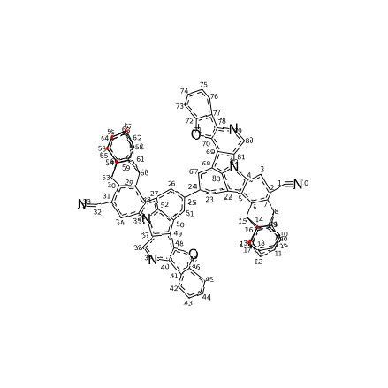 N#Cc1cc2c(c3c1C1c4ccccc4C3c3ccccc31)c1cc(-c3cc4c5c6c(c(C#N)cc5n5c7cnc8c9ccccc9oc8c7c(c3)c45)C3c4ccccc4C6c4ccccc43)cc3c4c5oc6ccccc6c5ncc4n2c13